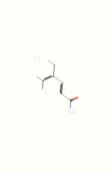 CCC(/C=C/C(N)=O)=C(C)C